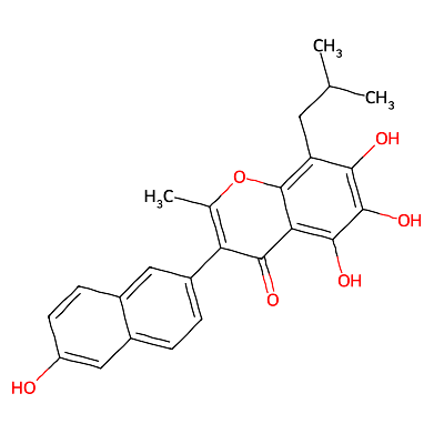 Cc1oc2c(CC(C)C)c(O)c(O)c(O)c2c(=O)c1-c1ccc2cc(O)ccc2c1